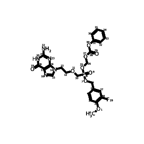 COc1ccc(COP(=O)(COCCn2cnc3c(=O)[nH]c(N)nc32)OCOC(=O)Oc2ccccc2)cc1F